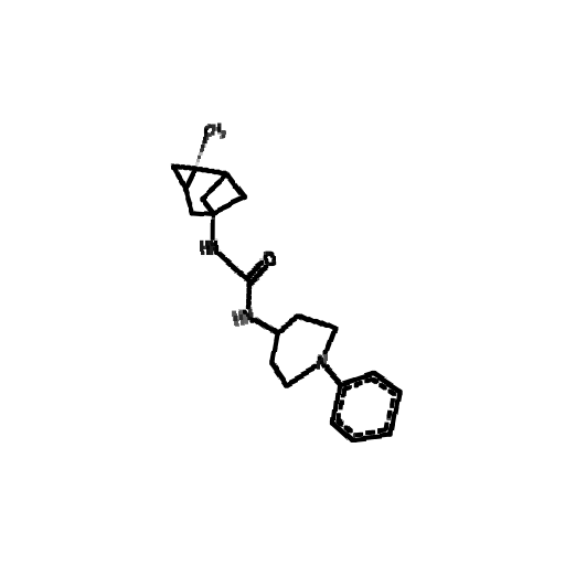 C[C@@]12CC1CC1(NC(=O)NC3CCN(c4ccccc4)CC3)CC2C1